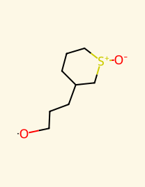 [O]CCCC1CCC[S+]([O-])C1